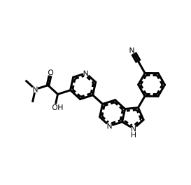 CN(C)C(=O)C(O)c1cncc(-c2cnc3[nH]cc(-c4cccc(C#N)c4)c3c2)c1